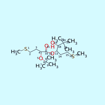 CSCCC(OC(C)(C)C)C(=O)OC(CCSC)C(O)C(C)(C)C